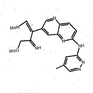 CN/C=C(\C(=N)COC)c1cnc2ccc(Nc3cc(C)cnn3)nc2c1